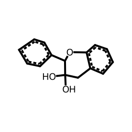 OC1(O)Cc2ccccc2OC1c1ccccc1